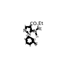 CCOC(=O)c1cnn(-c2cccc(F)c2)c1N(C)C(C)=O